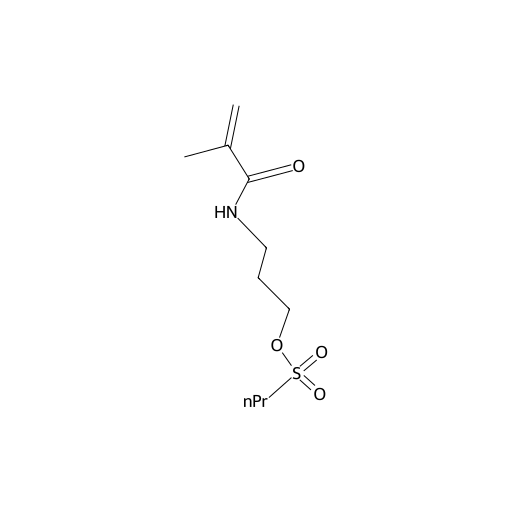 C=C(C)C(=O)NCCCOS(=O)(=O)CCC